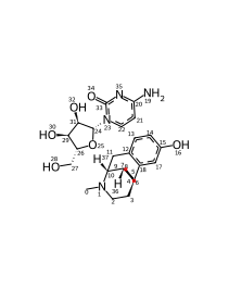 CN1CC[C@]23CCCC[C@H]2[C@H]1Cc1ccc(O)cc13.Nc1ccn([C@@H]2O[C@H](CO)[C@@H](O)[C@H]2O)c(=O)n1